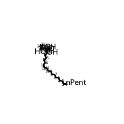 CCCCC/C=C\CCCCCCCCC/C=C\CCCCCC(O)(C[N+](C)(C)C)P(=O)(O)O